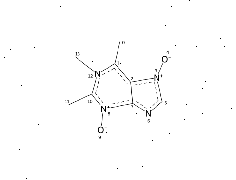 Cc1c2[n+]([O-])cnc-2[n+]([O-])c(C)n1C